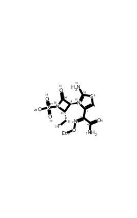 CCO/N=C(\C(N)=O)c1csc(N)[n+]1[C@@H]1C(=O)N(S(=O)(=O)[O-])[C@H]1CF